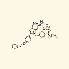 C=C/C=c1\c(=C/N)cc(-c2ccc(OCCN3CCCC3)cc2)n1Cc1ccc(C(=O)OC)c(OC)c1